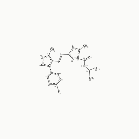 Cc1nc(C=Cc2c(-c3ccc(F)cn3)noc2C)sc1C(=O)NC(C)C